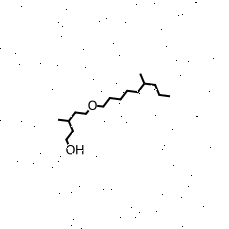 CCCC(C)CCCCCOCCC(C)CCO